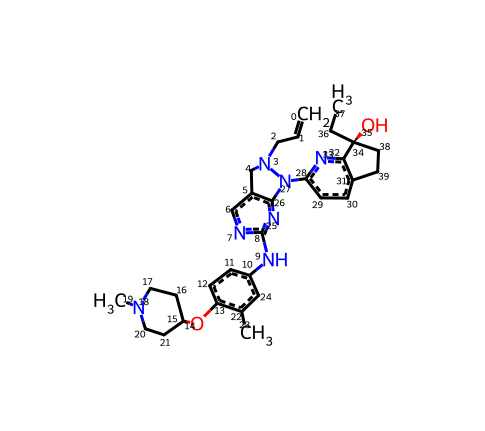 C=CCN1Cc2cnc(Nc3ccc(OC4CCN(C)CC4)c(C)c3)nc2N1c1ccc2c(n1)[C@](O)(CC)CC2